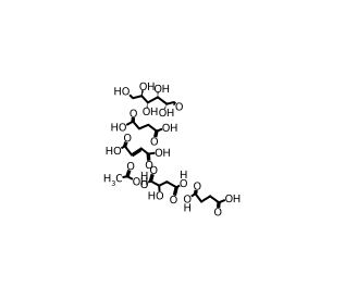 CC(=O)O.O=C(O)C=CC(=O)O.O=C(O)CC(O)C(=O)O.O=C(O)CCC(=O)O.O=C(O)CCC(=O)O.O=C[C@H](O)[C@@H](O)[C@H](O)[C@H](O)CO